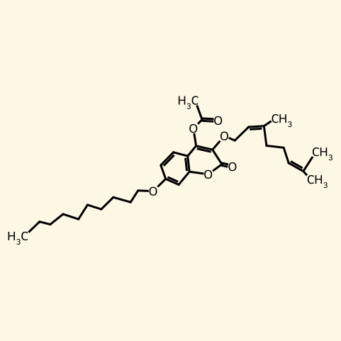 CCCCCCCCCCOc1ccc2c(OC(C)=O)c(OCC=C(C)CCC=C(C)C)c(=O)oc2c1